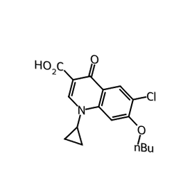 CCCCOc1cc2c(cc1Cl)c(=O)c(C(=O)O)cn2C1CC1